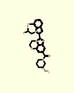 N[C@@H]1CCCN(C(=O)c2cc3c4c(c2)nc(-c2cc5cccc(Cl)c5n2CC(F)F)n4CCO3)C1